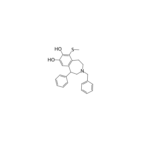 CSc1c(O)c(O)cc2c1CCN(Cc1ccccc1)CC2c1ccccc1